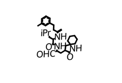 C=C(CCc1cccc(C)c1)NC(CC(C)C)C(=O)NC(C=O)CC1CC2(CCCCC2)NC1=O